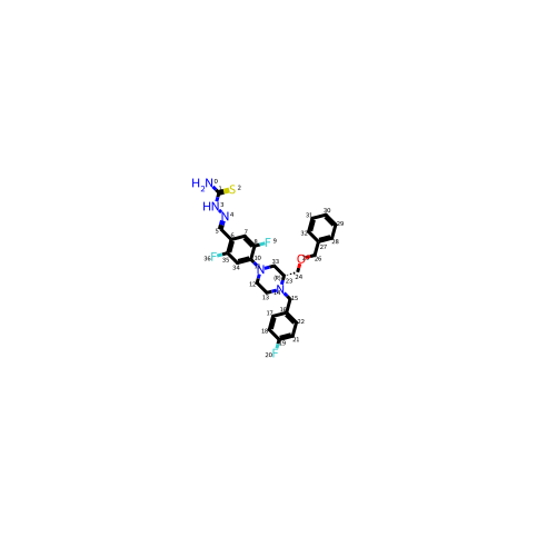 NC(=S)NN=Cc1cc(F)c(N2CCN(Cc3ccc(F)cc3)[C@@H](COCc3ccccc3)C2)cc1F